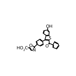 O=C(O)c1cnc(-c2ccc(-c3c(C(=O)c4ccccc4)sc4cc(O)ccc34)cc2)o1